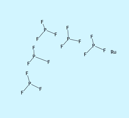 FP(F)F.FP(F)F.FP(F)F.FP(F)F.FP(F)F.[Ru]